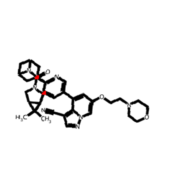 CC1(C)C2CN(C(=O)N3C4CC3CN(c3ccc(-c5cc(OCCN6CCOCC6)cn6ncc(C#N)c56)cn3)C4)CC21